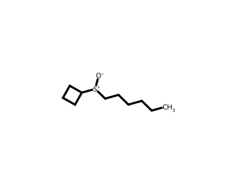 CCCCCC[S+]([O-])C1CCC1